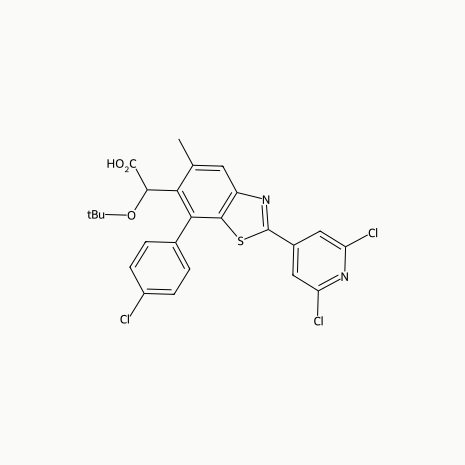 Cc1cc2nc(-c3cc(Cl)nc(Cl)c3)sc2c(-c2ccc(Cl)cc2)c1C(OC(C)(C)C)C(=O)O